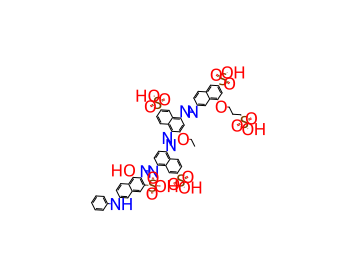 CCOc1cc(N=Nc2ccc3cc(S(=O)(=O)O)cc(OCCCS(=O)(=O)O)c3c2)c2cc(S(=O)(=O)O)ccc2c1N=Nc1ccc(N=Nc2c(S(=O)(=O)O)cc3cc(Nc4ccccc4)ccc3c2O)c2cc(S(=O)(=O)O)ccc12